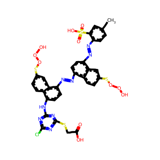 Cc1ccc(N=Nc2ccc(N=Nc3ccc(Nc4nc(Cl)nc(SCC(=O)O)n4)c4ccc(SOOO)cc34)c3ccc(SOOO)cc23)c(S(=O)(=O)O)c1